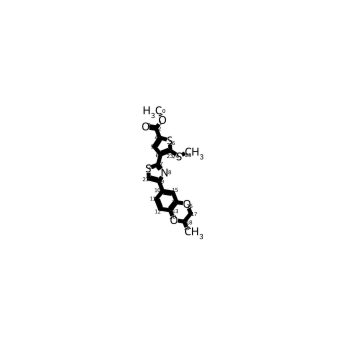 COC(=O)c1cc(-c2nc(-c3ccc4c(c3)OCC(C)O4)cs2)c(SC)s1